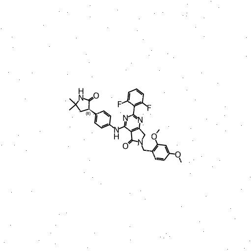 COc1ccc(CN2Cc3nc(-c4c(F)cccc4F)nc(Nc4ccc([C@H]5CC(C)(C)NC5=O)cc4)c3C2=O)c(OC)c1